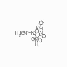 CCNCCCn1cc(C2=C(c3c[nH]c4ccccc34)C(=O)NC2=O)c2ccc(OCc3ccccc3)cc21